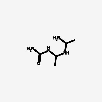 CC(N)NC(C)NC(N)=O